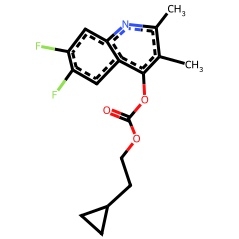 Cc1nc2cc(F)c(F)cc2c(OC(=O)OCCC2CC2)c1C